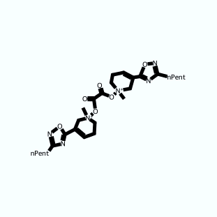 CCCCCc1noc(C2=CCC[N+](C)(OC(=O)C(=O)O[N+]3(C)CCC=C(c4nc(CCCCC)no4)C3)C2)n1